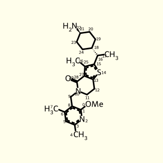 COc1nc(C)cc(C)c1CN1CCc2sc(C(C)[C@H]3CC[C@H](N)CC3)c(C)c2C1=O